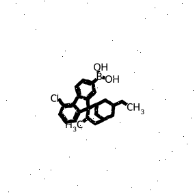 CCC1CC2CC(C)C3(c4cc(B(O)O)ccc4-c4c(Cl)cccc43)C(C1)C2